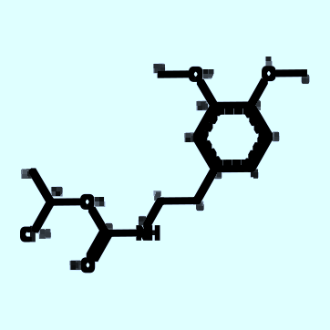 COc1ccc(CCNC(=O)OC(C)Cl)cc1OC